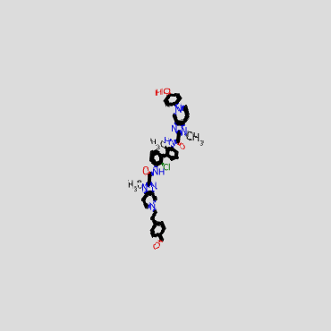 Cc1c(NC(=O)c2nc3c(n2C)CCN(C2CCC(O)CC2)C3)cccc1-c1cccc(NC(=O)c2nc3c(n2C)CCN(CCC2CCC(C=O)CC2)C3)c1Cl